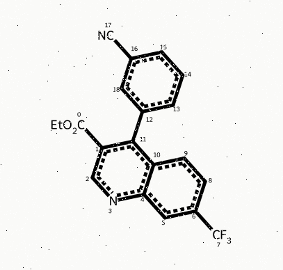 CCOC(=O)c1cnc2cc(C(F)(F)F)ccc2c1-c1cccc(C#N)c1